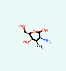 C[C@H]1[C@H](O)[C@@H](CO)OC(O)[C@H]1N